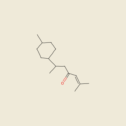 CC(C)=CC(=O)CC(C)C1CCC(C)CC1